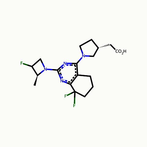 C[C@H]1C(F)CN1c1nc(N2CC[C@H](CC(=O)O)C2)c2c(n1)C(F)(F)CCC2